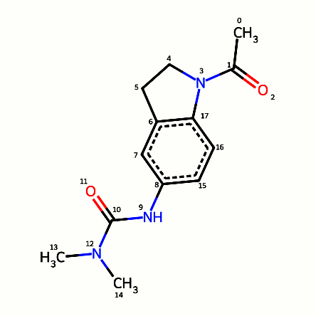 CC(=O)N1CCc2cc(NC(=O)N(C)C)ccc21